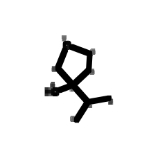 CC(C)C1(O)CCOC1